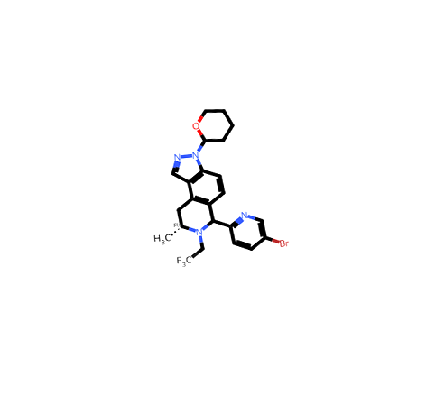 C[C@@H]1Cc2c(ccc3c2cnn3C2CCCCO2)C(c2ccc(Br)cn2)N1CC(F)(F)F